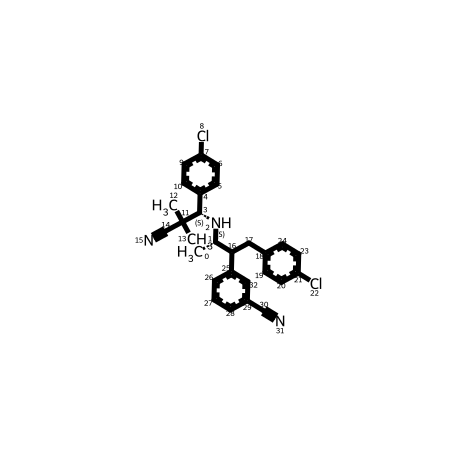 C[C@H](N[C@@H](c1ccc(Cl)cc1)C(C)(C)C#N)C(Cc1ccc(Cl)cc1)c1cccc(C#N)c1